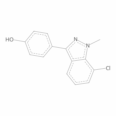 Cn1nc(-c2ccc(O)cc2)c2cccc(Cl)c21